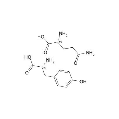 NC(=O)CC[C@@H](N)C(=O)O.N[C@H](Cc1ccc(O)cc1)C(=O)O